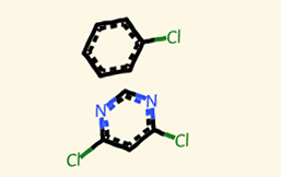 Clc1cc(Cl)ncn1.Clc1ccccc1